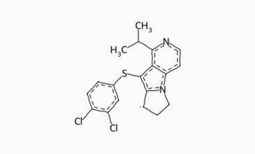 CC(C)c1nccc2c1c(Sc1ccc(Cl)c(Cl)c1)c1n2CC[CH]1